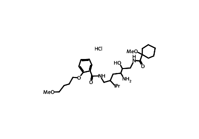 COCCCCOc1ccccc1C(=O)NCC(CC(N)C(O)CNC(=O)C1(OC)CCCCC1)C(C)C.Cl